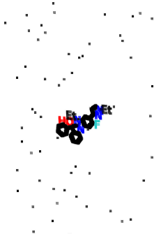 CCn1ccc(-c2cc3c(cc2F)nc(C(O)(c2ccccc2)c2ccccc2)n3CC)n1